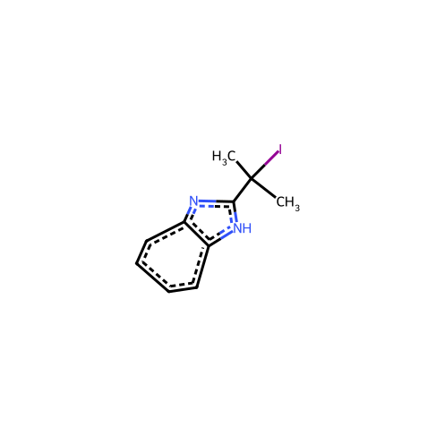 CC(C)(I)c1nc2ccccc2[nH]1